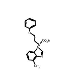 Cc1cccc2c1ncn2N(CCOc1ccccc1)C(=O)O